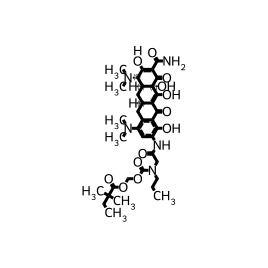 CCCN(CC(=O)Nc1cc(N(C)C)c2c(c1O)C(=O)C1=C(O)[C@]3(O)C(=O)C(C(N)=O)=C(O)[C@@H](N(C)C)[C@@H]3C[C@@H]1C2)C(=O)OCOC(=O)C(C)(C)CC